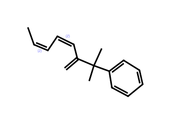 C=C(/C=C\C=C/C)C(C)(C)c1ccccc1